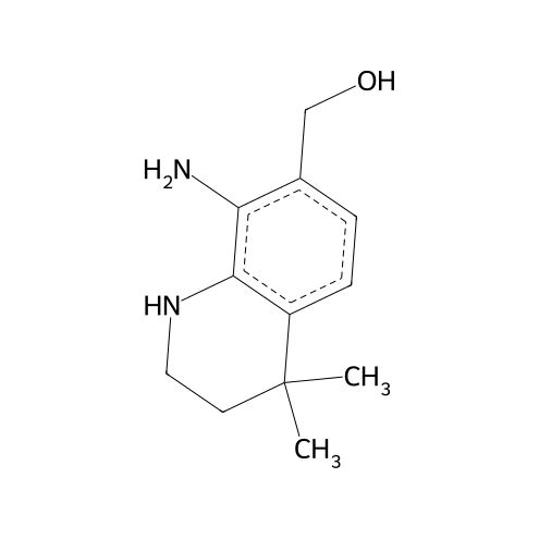 CC1(C)CCNc2c1ccc(CO)c2N